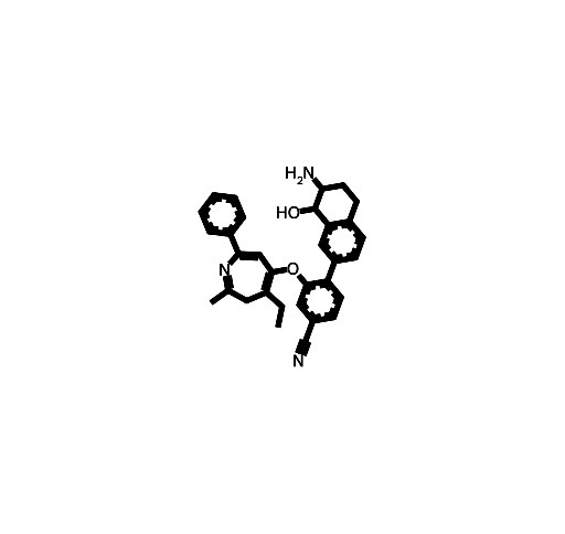 CCC1=C(Oc2cc(C#N)ccc2-c2ccc3c(c2)C(O)C(N)CC3)C=C(c2ccccc2)N=C(C)C1